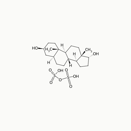 C[C@]12CC[C@H](O)C[C@@H]1CC[C@@H]1[C@@H]2CC[C@]2(C)[C@H](O)CC[C@@H]12.O=S(=O)(O)OS(=O)(=O)O